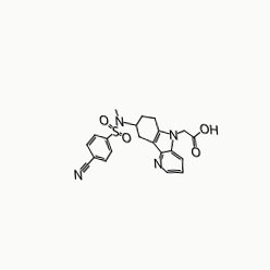 CN(C1CCc2c(c3ncccc3n2CC(=O)O)C1)S(=O)(=O)c1ccc(C#N)cc1